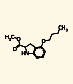 CCCCOc1cccc2c1CC(C(=O)OC)N2